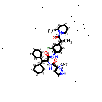 CC(C)n1nccc1C(=O)N[C@H](C(=O)Nc1ccc([C@H](C)C(=O)N2CCCCC2C(F)(F)F)cc1F)C(C1CCCCC1)C1CCCCC1